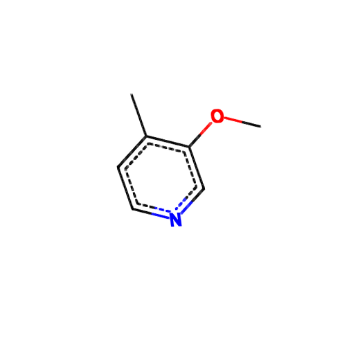 COc1cnccc1C